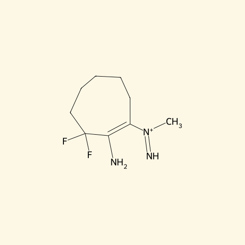 C[N+](=N)/C1=C(\N)C(F)(F)CCCCC1